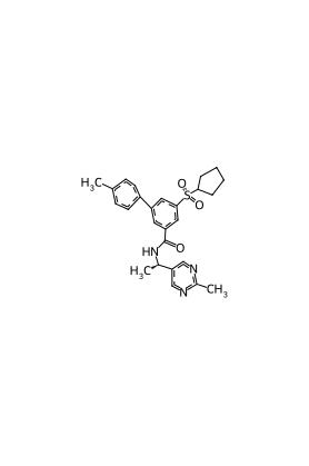 Cc1ccc(-c2cc(C(=O)N[C@H](C)c3cnc(C)nc3)cc(S(=O)(=O)C3CCCC3)c2)cc1